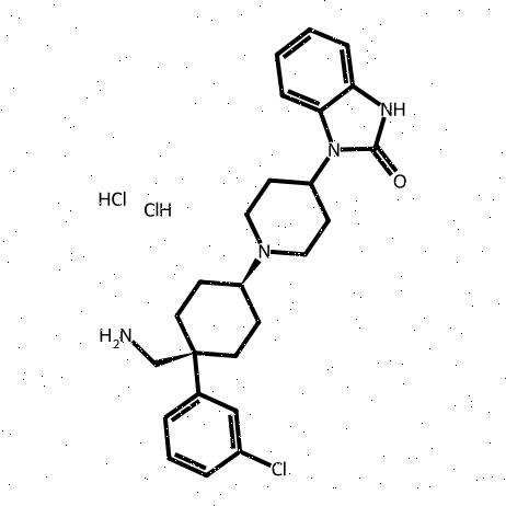 Cl.Cl.NC[C@]1(c2cccc(Cl)c2)CC[C@H](N2CCC(n3c(=O)[nH]c4ccccc43)CC2)CC1